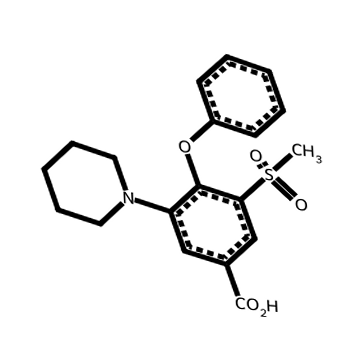 CS(=O)(=O)c1cc(C(=O)O)cc(N2CCCCC2)c1Oc1ccccc1